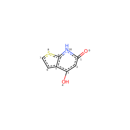 O=c1cc(O)c2ccsc2[nH]1